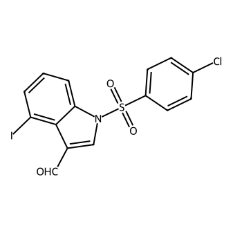 O=Cc1cn(S(=O)(=O)c2ccc(Cl)cc2)c2cccc(I)c12